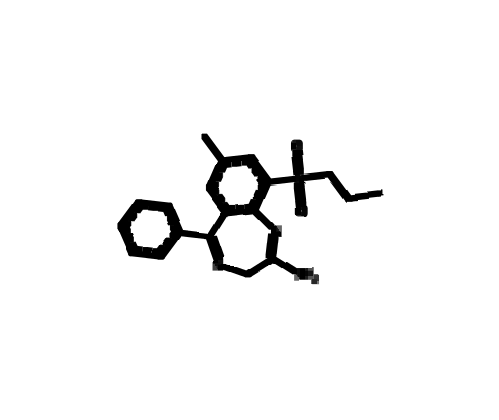 CCCS(=O)(=O)c1cc(C)cc2c1N=C(N)CN=C2c1ccccc1